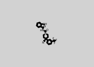 N#CC1(c2cccc(C(F)(F)F)c2)CCN(C(=O)Nc2n[nH]c3ccccc23)CC1